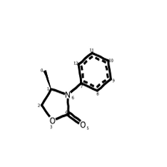 C[C@@H]1COC(=O)N1c1ccccc1